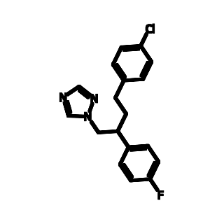 Fc1ccc(C(CCc2ccc(Cl)cc2)Cn2cncn2)cc1